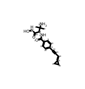 CC(C)(N)[C@H](NC(=O)c1ccc(C#CC=C2CC2)cc1)C(=O)NO